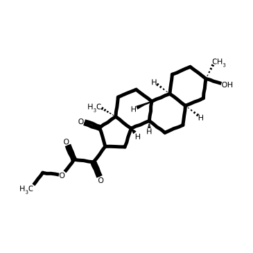 CCOC(=O)C(=O)C1C[C@H]2[C@@H]3CC[C@@H]4C[C@](C)(O)CC[C@@H]4[C@H]3CC[C@]2(C)C1=O